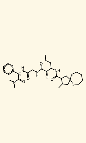 CCCC(NC(=O)C1CC2(CC1C)SCCCCS2)C(=O)C(=O)NCC(=O)N[C@H](C(=O)N(C)C)c1ccccc1